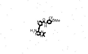 COc1ccc(NC(=O)c2cncc(C#Cc3c(N)ncc4nc(C)c(C)nc34)c2)cc1C(F)(F)F